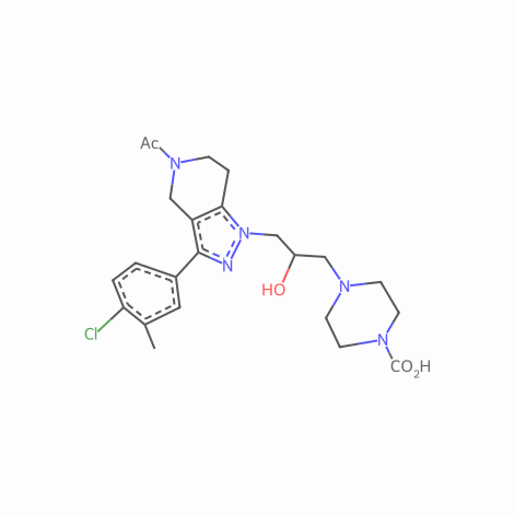 CC(=O)N1CCc2c(c(-c3ccc(Cl)c(C)c3)nn2CC(O)CN2CCN(C(=O)O)CC2)C1